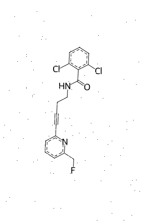 O=C(NCCC#Cc1cccc(CF)n1)c1c(Cl)cccc1Cl